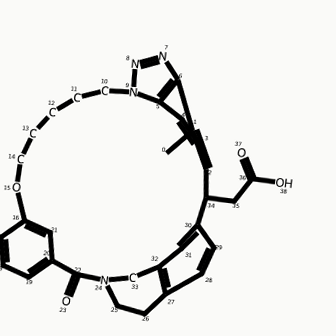 Cc1c2ccc3c1nnn3CCCCCOc1cccc(c1)C(=O)N1CCc3ccc(cc3C1)C2CC(=O)O